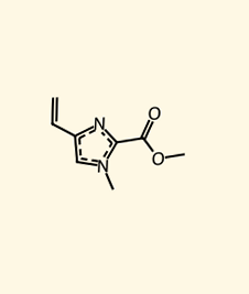 C=Cc1cn(C)c(C(=O)OC)n1